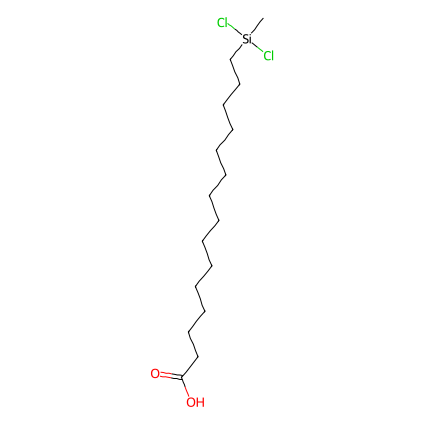 C[Si](Cl)(Cl)CCCCCCCCCCCCCCC(=O)O